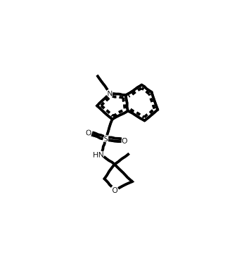 Cn1cc(S(=O)(=O)NC2(C)COC2)c2ccccc21